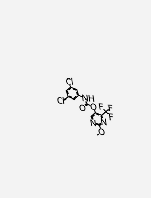 COc1ncc(OC(=O)Nc2cc(Cl)cc(Cl)c2)c(C(F)(F)F)n1